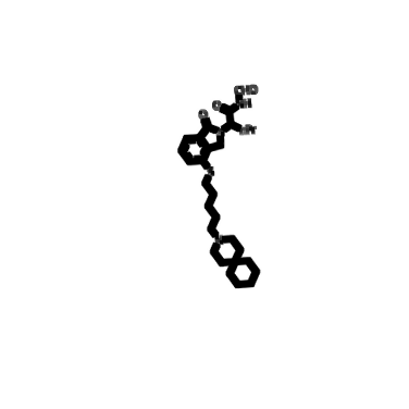 CCCC(C(=O)NC=O)N1Cc2c(SCCCCCN3CCC4(CCCCC4)CC3)cccc2C1=O